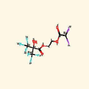 O=C(OCCOC(=O)C(O)(C(F)(F)F)C(F)(F)F)C(I)I